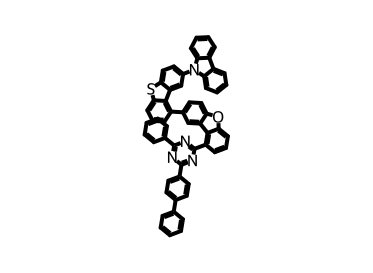 c1ccc(-c2ccc(-c3nc(-c4ccccc4)nc(-c4cccc5oc6ccc(-c7cccc8sc9ccc(-n%10c%11ccccc%11c%11ccccc%11%10)cc9c78)cc6c45)n3)cc2)cc1